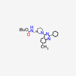 Cc1ccc2c(N3CCC[C@@H](CNC(=O)OCC(C)C)C3)nc(-c3ccccc3)nc2c1